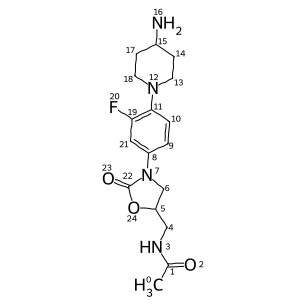 CC(=O)NCC1CN(c2ccc(N3CCC(N)CC3)c(F)c2)C(=O)O1